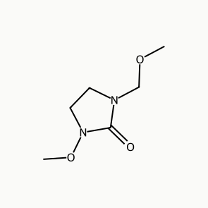 COCN1CCN(OC)C1=O